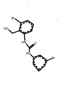 O=C(Nc1cccc(Br)c1)Nc1cccc(Br)c1CO